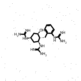 N=C(N)Nc1ccccc1C[C@H]1[C@H](O)C[C@H](NC(=N)N)C[C@@H]1NC(=N)N